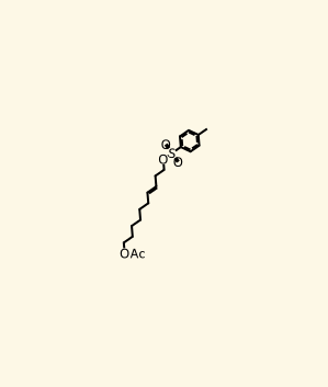 CC(=O)OCCCCCC/C=C/CCOS(=O)(=O)c1ccc(C)cc1